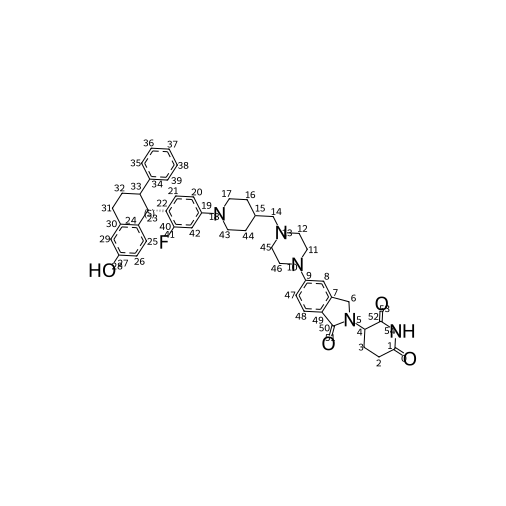 O=C1CCC(N2Cc3cc(N4CCN(CC5CCN(c6ccc([C@@H]7c8ccc(O)cc8CCC7c7ccccc7)c(F)c6)CC5)CC4)ccc3C2=O)C(=O)N1